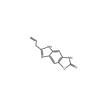 C=CCc1nc2cc3oc(=O)[nH]c3cc2[nH]1